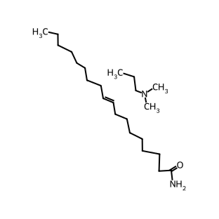 CCCCCCCCC=CCCCCCCCC(N)=O.CCCN(C)C